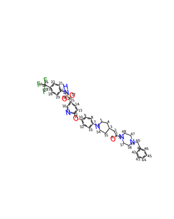 O=C(CC1CCN(c2ccc(Oc3ccc(S(=O)(=O)Nc4ccc(C(F)(F)F)cc4)cn3)cc2)CC1)N1CCN(Cc2ccccc2)CC1